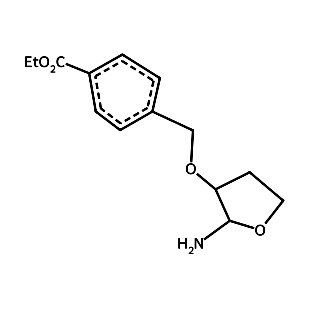 CCOC(=O)c1ccc(COC2CCOC2N)cc1